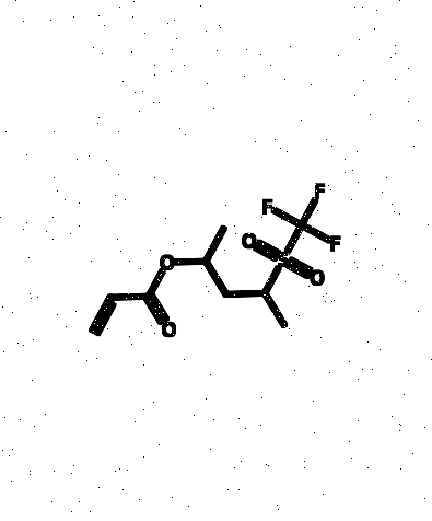 C=CC(=O)OC(C)CC(C)S(=O)(=O)C(F)(F)F